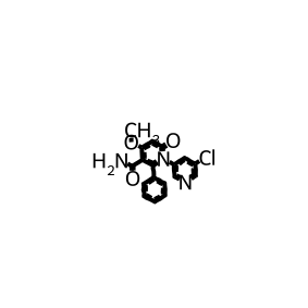 COc1cc(=O)n(-c2cncc(Cl)c2)c(-c2ccccc2)c1C(N)=O